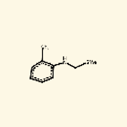 CSCNc1ccccc1C(F)(F)F